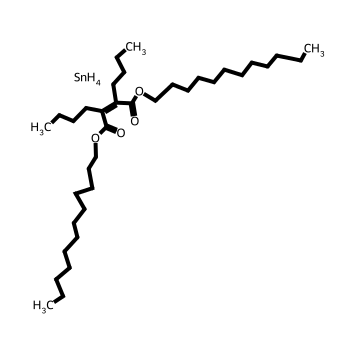 CCCCCCCCCCCCOC(=O)/C(CCCC)=C(/CCCC)C(=O)OCCCCCCCCCCCC.[SnH4]